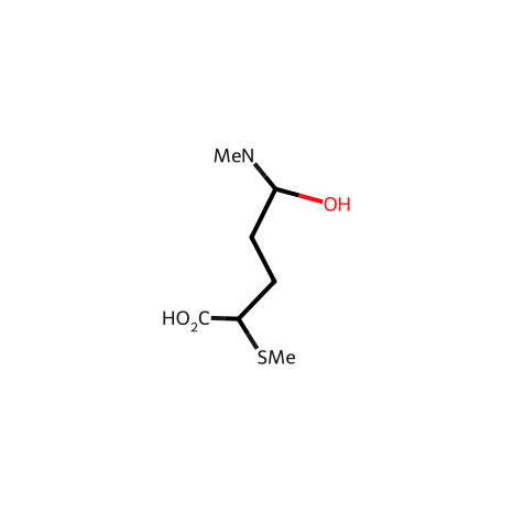 CNC(O)CCC(SC)C(=O)O